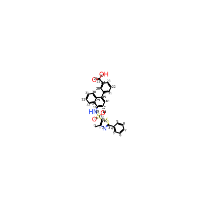 Cc1nc(-c2ccccc2)sc1S(=O)(=O)Nc1ccc(-c2cccc(C(=O)O)c2)c2ccccc12